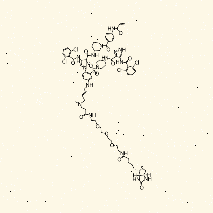 C=CC(=O)Nc1ccc(C(=O)N2CCC[C@@H](NC(=O)c3nn(-c4ccc(NC/C=C/CN(C)CCC(=O)NCCOCCOCCOCCNC(=O)CCCC[C@@H]5SC[C@@H]6NC(=O)N[C@@H]65)cc4S(=O)(=O)N4CCC(NC(=O)c5n[nH]cc5NC(=O)c5c(Cl)cccc5Cl)CC4)cc3NC(=O)c3c(Cl)cccc3Cl)C2)cc1